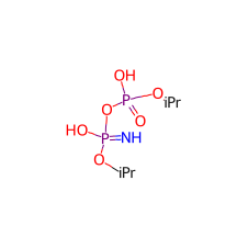 CC(C)OP(=N)(O)OP(=O)(O)OC(C)C